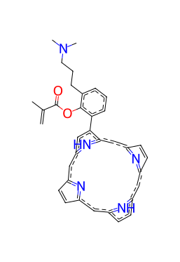 C=C(C)C(=O)Oc1c(CCCN(C)C)cccc1-c1cc2cc3nc(cc4ccc(cc5nc(cc1[nH]2)C=C5)[nH]4)C=C3